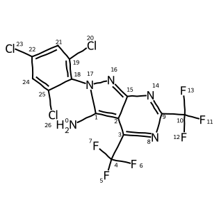 Nc1c2c(C(F)(F)F)nc(C(F)(F)F)nc2nn1-c1c(Cl)cc(Cl)cc1Cl